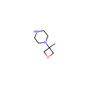 IC1(N2CCNCC2)COC1